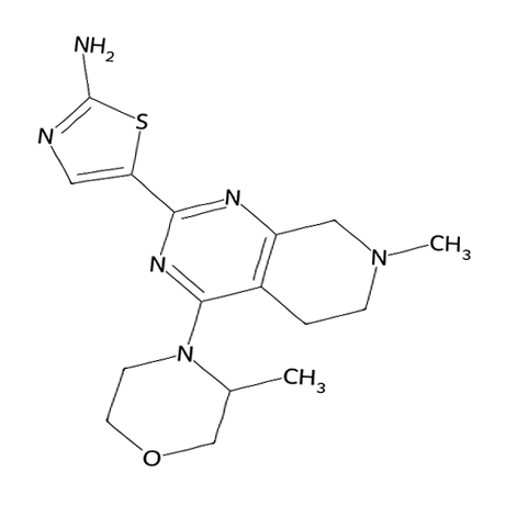 CC1COCCN1c1nc(-c2cnc(N)s2)nc2c1CCN(C)C2